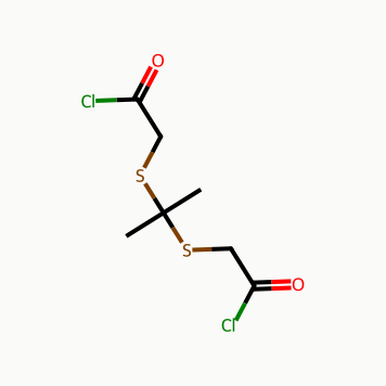 CC(C)(SCC(=O)Cl)SCC(=O)Cl